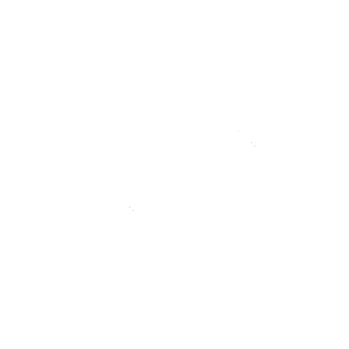 CC1(C)CN(Cc2ccccc2)C/C(=C/c2ccc(C(=O)N3CCOCC3)cc2)C1=O